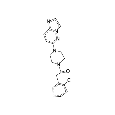 O=C(Cc1ccccc1Cl)N1CCN(c2ccc3nccn3n2)CC1